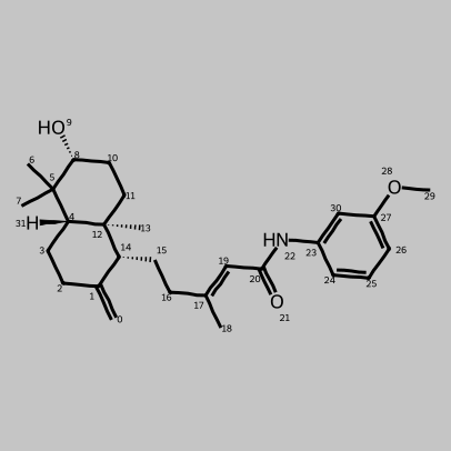 C=C1CC[C@@H]2C(C)(C)[C@H](O)CC[C@@]2(C)[C@@H]1CCC(C)=CC(=O)Nc1cccc(OC)c1